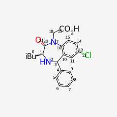 CCC(C)[C@@H]1NC(c2ccccc2)c2cc(Cl)ccc2N(CC(=O)O)C1=O